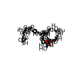 CC[C@H](C)[C@@H]1NC(=O)CNC(=O)[C@H]2Cc3c([nH]c4ccccc34)SC[C@@H](NC(=O)CNC1=O)C(=O)N[C@@H](CC(=O)NCc1ccc(NC(=O)[C@H](C)NC(=O)[C@@H](NC(=O)CCN3C(=O)CC(S)C3=O)C(C)C)cc1)C(=O)N1CCCC1C[C@@H]([C@@H](C)[C@@H](O)CO)C(=O)N2